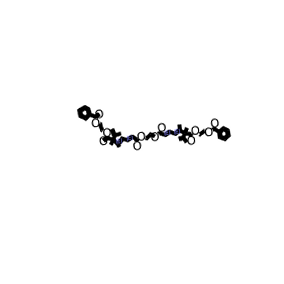 C=C(C)C(C)(C(=O)OCCOC(=O)c1ccccc1)/C(C)=C/C=C/C(=O)OCCOC(=O)/C=C/C=C(\C)C(C)(C(=C)C)C(=O)OCCOC(=O)c1ccccc1